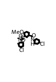 COc1ccc(C(=O)Nc2ccc(Cl)cc2)cc1S(=O)(=O)N(C)c1ccc(Cl)cc1